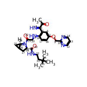 CC(=O)C(=N)c1cc(OCc2ncccn2)ccc1NCC(=O)N1[C@@H]2CC2C[C@H]1C(=O)NCCC(C)(C)C